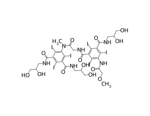 COCC(=O)Nc1c(I)c(C(=O)NCC(=O)N(C)c2c(I)c(C(=O)NCC(O)CO)c(I)c(C(=O)NCC(O)CO)c2I)c(I)c(C(=O)NCC(O)CO)c1I